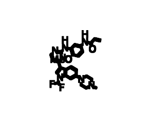 C=CC(=O)Nc1ccc(OC)c(Nc2nccc(-c3cn(C(F)F)c4cc(N5CCN(C)CC5)ccc34)n2)c1